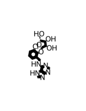 OC[C@H]1OC(Oc2c(Cl)cccc2CNc2ncnc3nc[nH]c23)[C@H](O)[C@@H]1O